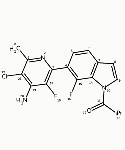 Cc1nc(-c2ccc3ccn(C(=O)C(C)C)c3c2F)c(F)c(N)c1Cl